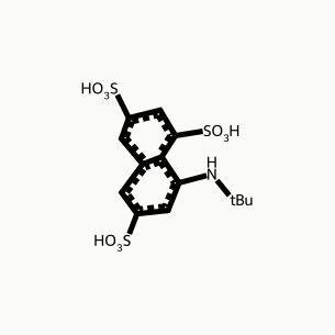 CC(C)(C)Nc1cc(S(=O)(=O)O)cc2cc(S(=O)(=O)O)cc(S(=O)(=O)O)c12